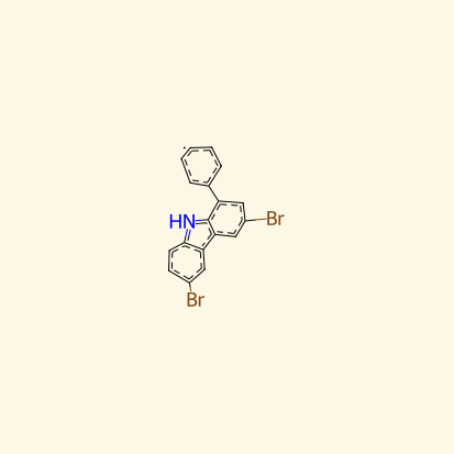 Brc1ccc2[nH]c3c(-c4cc[c]cc4)cc(Br)cc3c2c1